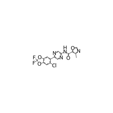 Cc1ncoc1C(=O)Nc1cnc(-c2cc3c(cc2Cl)OC(F)(F)O3)cn1